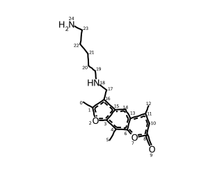 Cc1oc2c(C)c3oc(=O)cc(C)c3cc2c1CNCCCCCN